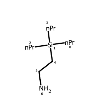 CCC[Si](CCC)(CCC)CCN